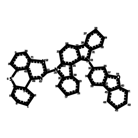 c1ccc2c(c1)Sc1cccc3nc(-n4c5ccccc5c5c4ccc4c6ccccc6n(-c6ccc7c(c6)oc6ccccc67)c45)nc-2c13